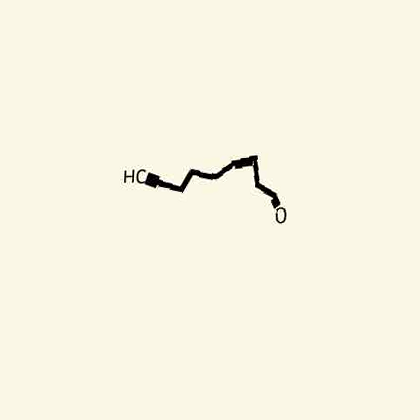 C#CCCC/C=C\CC=O